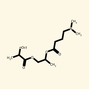 CCCCCCCCC(C)C(=O)OCC(C)OC(=O)CCCN(C)C